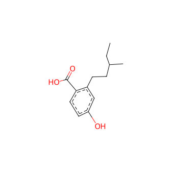 CCC(C)CCc1cc(O)ccc1C(=O)O